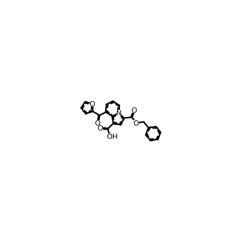 O=C(O)c1cc(C(=O)OCc2ccccc2)n2cccc(C(=O)c3ccco3)c12